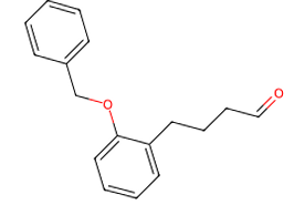 O=CCCCc1ccccc1OCc1ccccc1